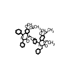 CCOc1cc2c(cc1OC)C(c1ccccc1)=NC(Cc1ccccc1)C(=O)N2CC.CCOc1cc2c(cc1OC)C(c1ccccc1)=NC(c1ccccc1)C(=O)N2CC